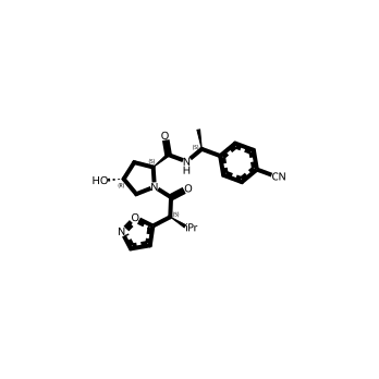 CC(C)[C@H](C(=O)N1C[C@H](O)C[C@H]1C(=O)N[C@@H](C)c1ccc(C#N)cc1)c1ccno1